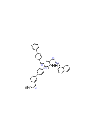 C=C(/C=C\C=C\C1C=CC=C2C=CC=CC21)C(=N)/N=C(\C=C\C1C=CC(c2cccnc2)=CC1)C1=CCC(C2=CCCC(/C=C\CCC)=C2)C=C1